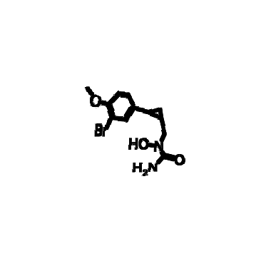 COc1ccc(C2CC2CN(O)C(N)=O)cc1Br